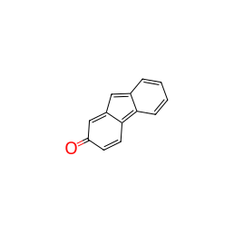 O=C1C=CC2=c3ccccc3=CC2=C1